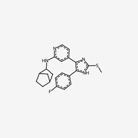 CSc1nc(-c2ccnc(NC3CC4CCC3C4)c2)c(-c2ccc(F)cc2)[nH]1